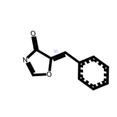 O=C1N=CO/C1=C\c1ccccc1